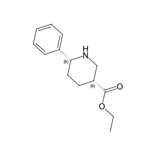 CCOC(=O)[C@@H]1CC[C@H](c2ccccc2)NC1